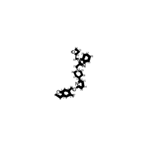 Fc1cc2ccoc2cc1COc1cccc(C2CCN(Cc3nc4ccccc4n3C[C@@H]3CCO3)CC2)n1